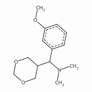 COc1cccc(C(C2COCOC2)N(C)C)c1